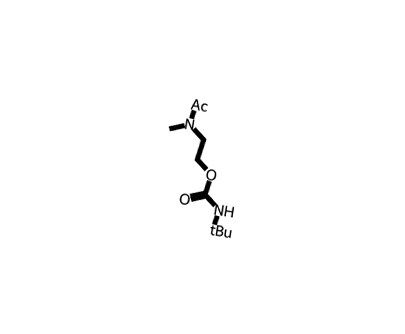 CC(=O)N(C)CCOC(=O)NC(C)(C)C